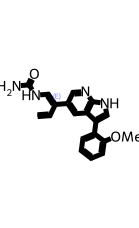 C=C/C(=C\NC(N)=O)c1cnc2[nH]cc(-c3ccccc3OC)c2c1